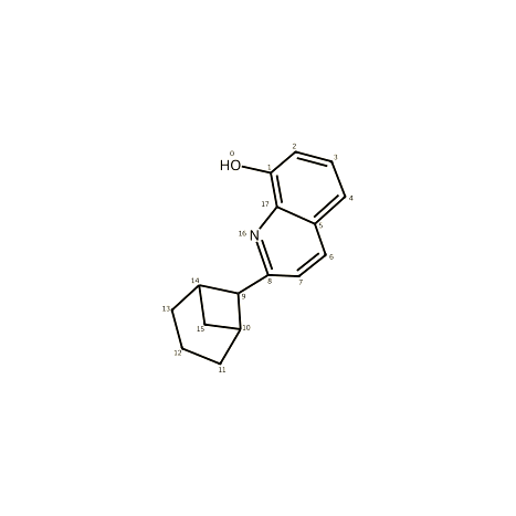 Oc1cccc2ccc(C3C4CCCC3C4)nc12